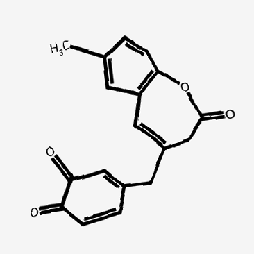 Cc1ccc2c(c1)C=C(CC1=CC(=O)C(=O)C=C1)CC(=O)O2